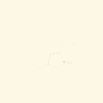 C=CC1CC(=O)N([C@@H](CC)C(=O)O)C1